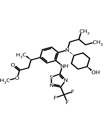 CCC(C)CN(c1ccc([C@H](C)CC(=O)OC)cc1Nc1nc(C(F)(F)F)ns1)[C@H]1CC[C@H](O)CC1